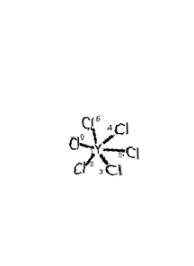 [Cl][Y]([Cl])([Cl])([Cl])([Cl])[Cl]